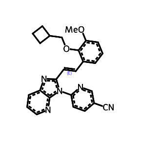 COc1cccc(/C=C/c2nc3cccnc3n2-c2ccc(C#N)cn2)c1OCC1CCC1